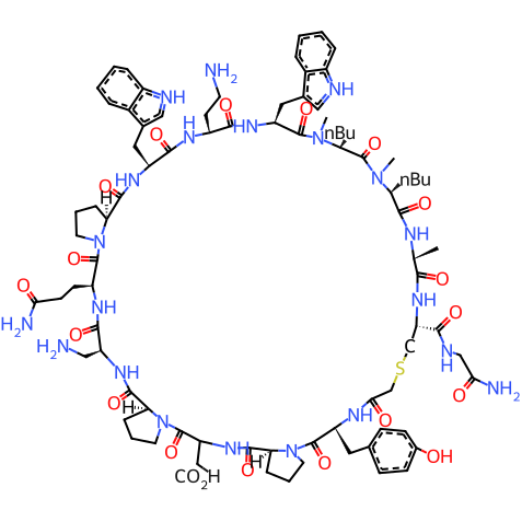 CCCC[C@H]1C(=O)N(C)[C@@H](CCCC)C(=O)N[C@@H](C)C(=O)N[C@H](C(=O)NCC(N)=O)CSCC(=O)N[C@@H](Cc2ccc(O)cc2)C(=O)N2CCC[C@H]2C(=O)NC(CC(=O)O)C(=O)N2CCC[C@H]2C(=O)N[C@@H](CN)C(=O)N[C@@H](CCC(N)=O)C(=O)N2CCC[C@H]2C(=O)N[C@@H](Cc2c[nH]c3ccccc23)C(=O)N[C@@H](CCN)C(=O)N[C@@H](Cc2c[nH]c3ccccc23)C(=O)N1C